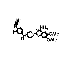 COc1cc2nc(N3CCN(C(=O)c4ccc(N=[N+]=[N-])c(I)c4)CC3)nc(N)c2cc1OC